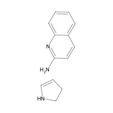 C1=CNCC1.Nc1ccc2ccccc2n1